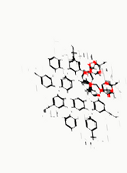 CCC(C)(C)c1cc2c3c(c1)N(c1c(C)cc(C)cc1C)c1cc4c(cc1B3c1cc3c(cc1N2c1ccc(C(C)(C)C)cc1)N(c1c(C)cc(C)cc1C)c1cc(C(C)(C)CC)cc2c1B3c1sc3ccc(C(C)(C)CC)cc3c1N2c1ccc(C(C)(C)C)cc1)B1c2sc3ccc(C(C)(C)CC)cc3c2N(c2ccc(C(C)(C)C)cc2)c2cc(C(C)(C)CC)cc(c21)N4c1ccc(C(C)(C)C)cc1